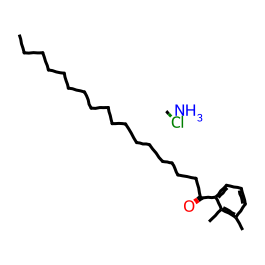 CCCCCCCCCCCCCCCCCC(=O)c1cccc(C)c1C.CCl.N